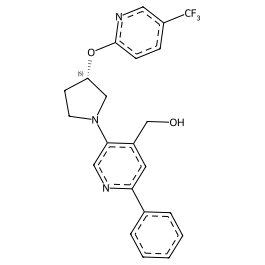 OCc1cc(-c2ccccc2)ncc1N1CC[C@H](Oc2ccc(C(F)(F)F)cn2)C1